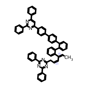 C/C=C(\C=C/Cc1nc(-c2ccccc2)nc(-c2ccccc2)n1)c1ccccc1-c1ccccc1-c1ccc(-c2ccc(-c3cc(-c4ccccc4)nc(-c4ccccc4)n3)cc2)cc1